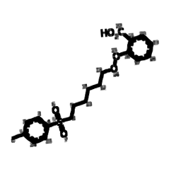 Cc1ccc(S(=O)(=O)CCCCCCOOc2ccccc2C(=O)O)cc1